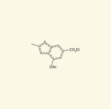 CCOC(=O)c1cc(OC(C)=O)c2cc(C)sc2c1